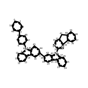 c1ccc(-c2ccc(-n3c4ccccc4c4cc(-c5ccc6c7ccccc7n(-c7ncc8c(n7)-c7ccccc7C8)c6c5)ccc43)cc2)cc1